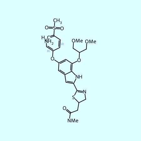 C=C(/C=C\C(=C/N)Oc1cc(OC(COC)COC)c2[nH]c(C3=NCC(CC(=O)NC)S3)cc2c1)S(C)(=O)=O